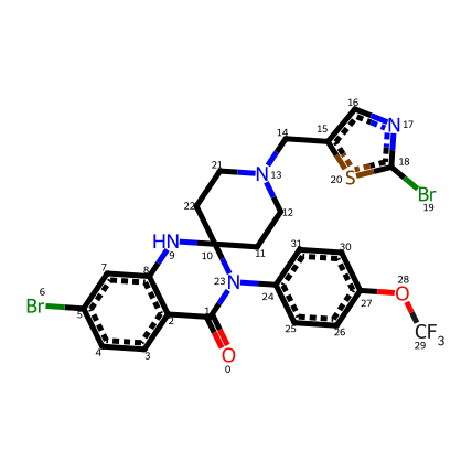 O=C1c2ccc(Br)cc2NC2(CCN(Cc3cnc(Br)s3)CC2)N1c1ccc(OC(F)(F)F)cc1